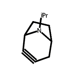 CC(C)N1C2C#CCC1CC2